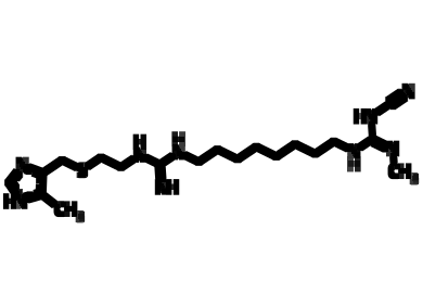 C/N=C(/NC#N)NCCCCCCCCNC(=N)NCCSCc1nc[nH]c1C